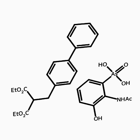 CC(=O)Nc1c(O)cccc1[As](=O)(O)O.CCOC(=O)C(Cc1ccc(-c2ccccc2)cc1)C(=O)OCC